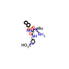 CCCCN(CCN)C(=O)[C@H](CC(=O)NC[C@@H]1CCCN(C(=O)O)C1)NS(=O)(=O)c1ccc2ccccc2c1